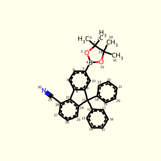 CC1(C)OB(c2ccc3c(c2)C(c2ccccc2)(c2ccccc2)c2cccc(C#N)c2-3)OC1(C)C